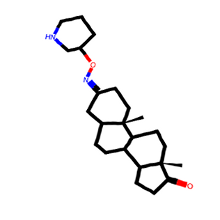 C[C@]12CCC(=NOC3CCCNC3)CC1CCC1C2CC[C@]2(C)C(=O)CCC12